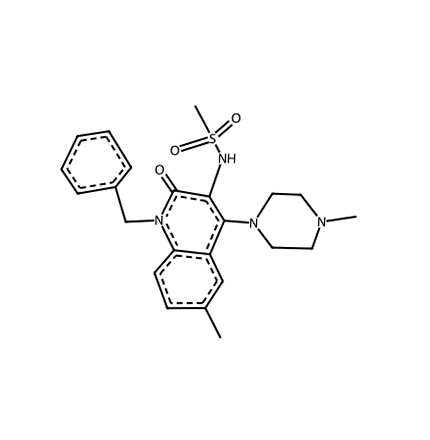 Cc1ccc2c(c1)c(N1CCN(C)CC1)c(NS(C)(=O)=O)c(=O)n2Cc1ccccc1